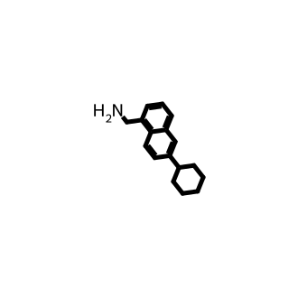 NCc1cccc2cc(C3CCCCC3)ccc12